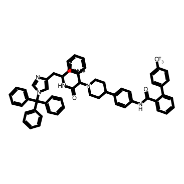 COC(=O)C(Cc1cn(C(c2ccccc2)(c2ccccc2)c2ccccc2)cn1)NC(=O)C(c1ccccc1)N1CCC(c2ccc(NC(=O)c3ccccc3-c3ccc(C(F)(F)F)cc3)cc2)CC1